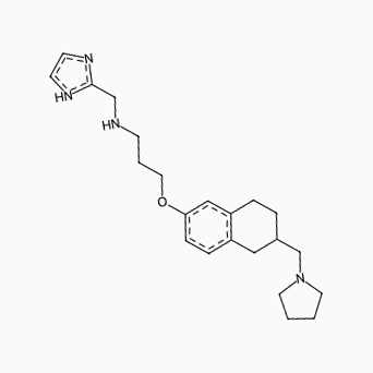 c1c[nH]c(CNCCCOc2ccc3c(c2)CCC(CN2CCCC2)C3)n1